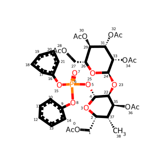 CC(=O)OC[C@@H]1O[C@H](OP(=O)(Oc2ccccc2)Oc2ccccc2)[C@@H](O[C@H]2O[C@H](COC(C)=O)[C@@H](OC(C)=O)[C@H](OC(C)=O)[C@@H]2OC(C)=O)[C@@H](OC(C)=O)[C@@H]1C